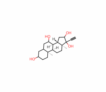 C#CC1(O)C(O)C[C@H]2[C@@H]3C(O)CC4CC(O)CC[C@]4(C)[C@@H]3CC[C@@]21C